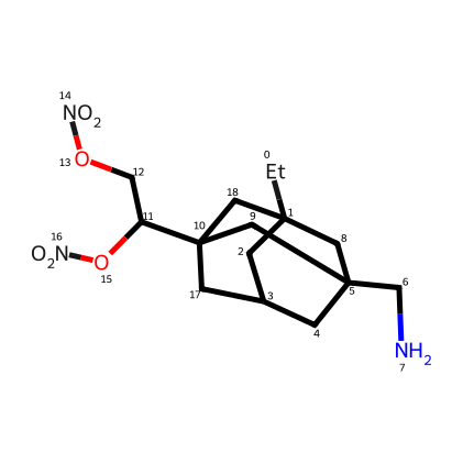 CCC12CC3CC(CN)(C1)CC(C(CO[N+](=O)[O-])O[N+](=O)[O-])(C3)C2